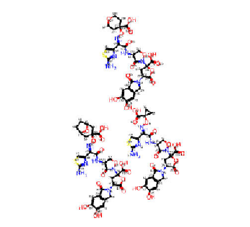 Nc1nc(/C(=N/OC2(C(=O)O)CC2)C(=O)N[C@H]2CON(C3(C(=O)O)C[C@H](N4Cc5cc(O)c(O)cc5C4=O)C(=O)O3)C2=O)cs1.Nc1nc(/C(=N/OC2(C(=O)O)CC3CCC(C2)O3)C(=O)N[C@H]2CON(C3(C(=O)O)C[C@H](N4Cc5cc(O)c(O)cc5C4=O)C(=O)O3)C2=O)cs1.Nc1nc(/C(=N/OC2(C(=O)O)CCOCC2)C(=O)N[C@H]2CON(C3(C(=O)O)C[C@H](N4Cc5cc(O)c(O)cc5C4=O)C(=O)O3)C2=O)cs1